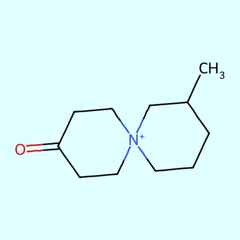 CC1CCC[N+]2(CCC(=O)CC2)C1